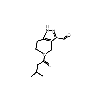 CC(C)CC(=O)N1CCc2[nH]nc(C=O)c2C1